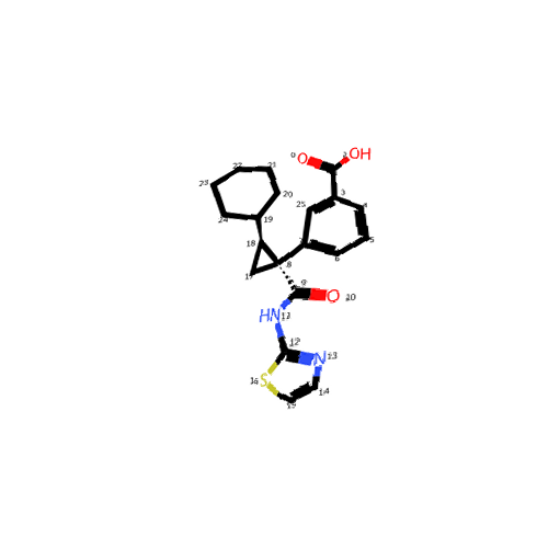 O=C(O)c1cccc([C@@]2(C(=O)Nc3nccs3)C[C@H]2C2CCCCC2)c1